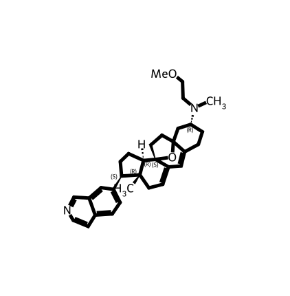 COCCN(C)[C@@H]1CCC2=CC3=CC[C@]4(C)[C@@H](c5ccc6ccncc6c5)CC[C@H]4[C@@]34CCC2(C1)O4